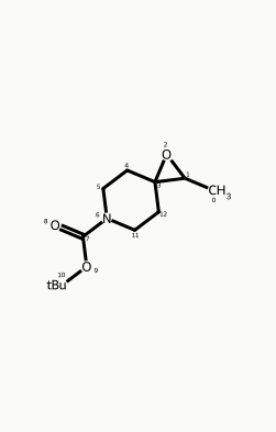 CC1OC12CCN(C(=O)OC(C)(C)C)CC2